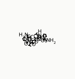 CC(C)[C@H](NC(=O)[C@@H]1CCCN1C(=O)[C@H](C)N)C(=O)C(Cl)C(=O)C(Cl)C(=O)[C@@H](NC(=O)[C@@H]1CCCN1C(=O)[C@H](C)N)C(C)C